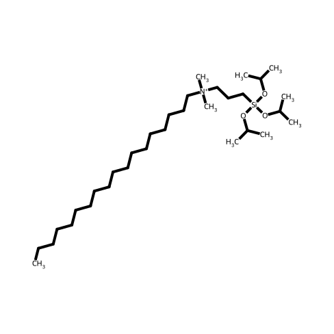 CCCCCCCCCCCCCCCCCC[N+](C)(C)CCC[Si](OC(C)C)(OC(C)C)OC(C)C